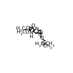 CC(C)(C)OC(=O)Nc1cc2c(cnn2COCC[Si](C)(C)C)nc1C=O